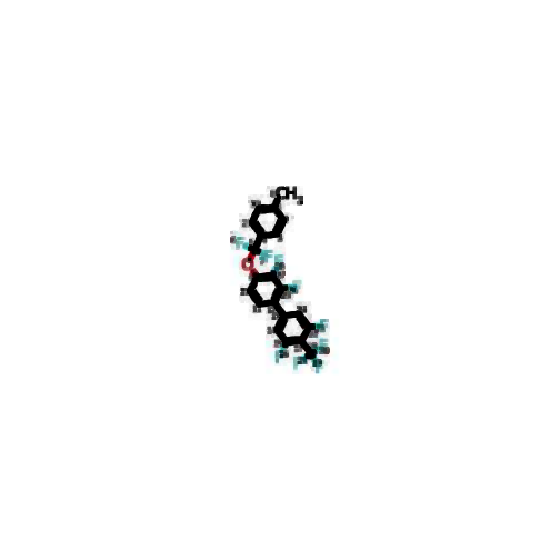 Cc1ccc(C(F)(F)Oc2ccc(-c3cc(F)c(C(F)(F)F)c(F)c3)c(F)c2F)cc1